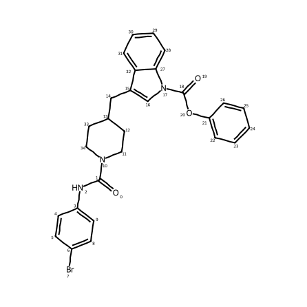 O=C(Nc1ccc(Br)cc1)N1CCC(Cc2cn(C(=O)Oc3ccccc3)c3ccccc23)CC1